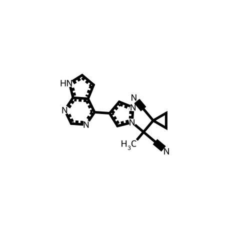 CC(C#N)(n1cc(-c2ncnc3[nH]ccc23)cn1)C1(C#N)CC1